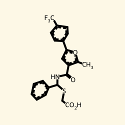 Cc1oc(-c2ccc(C(F)(F)F)cc2)cc1C(=O)NC(SCC(=O)O)c1ccccc1